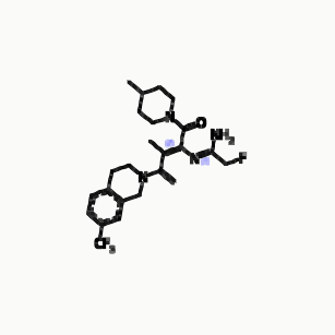 C=C(/C(C)=C(\N=C(/N)CF)C(=O)N1CCC(C)CC1)N1CCc2ccc(C(F)(F)F)cc2C1